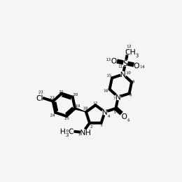 CNC1CN(C(=O)N2CCN(S(C)(=O)=O)CC2)C[C@@H]1c1ccc(Cl)cc1